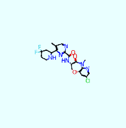 Cc1cnc(C(=O)N[C@H]2COc3cc(Cl)cnc3N(C)C2=O)nc1C1CC(F)(F)CCN1